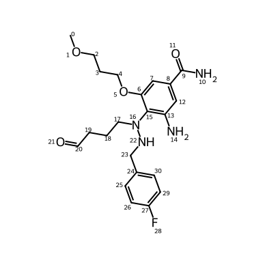 COCCCOc1cc(C(N)=O)cc(N)c1N(CCCC=O)NCc1ccc(F)cc1